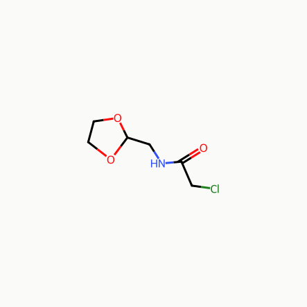 O=C(CCl)NCC1OCCO1